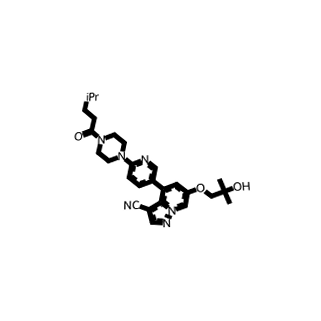 CC(C)CCC(=O)N1CCN(c2ccc(-c3cc(OCC(C)(C)O)cn4ncc(C#N)c34)cn2)CC1